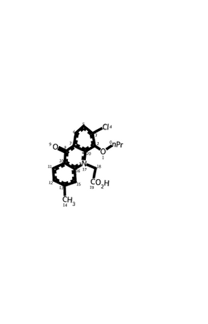 CCCOc1c(Cl)ccc2c(=O)c3ccc(C)cc3n(CC(=O)O)c12